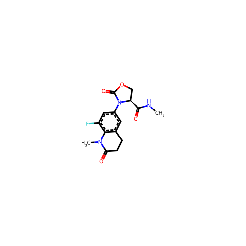 CNC(=O)[C@@H]1COC(=O)N1c1cc(F)c2c(c1)CCC(=O)N2C